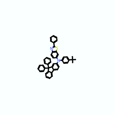 CC(C)(C)c1ccc(N(c2ccc3c(c2)C(c2ccccc2)(c2ccccc2)c2ccccc2-3)c2ccc3nc(-c4ccccc4)sc3c2)cc1